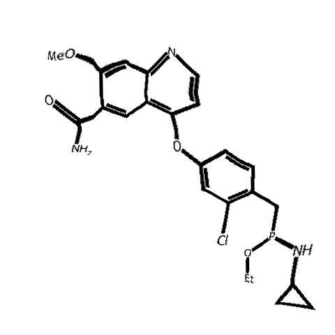 CCOP(Cc1ccc(Oc2ccnc3cc(OC)c(C(N)=O)cc23)cc1Cl)NC1CC1